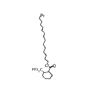 CC(C)CCCCCCCCCCCCCCOC(=O)C1CCCCC1C(=O)O